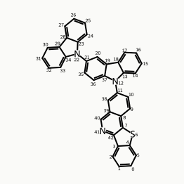 c1ccc2c(c1)sc1c3ccc(-n4c5ccccc5c5cc(-n6c7ccccc7c7ccccc76)ccc54)cc3cnc21